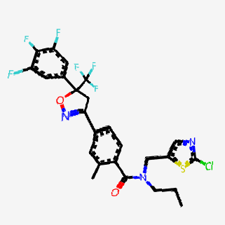 CCCN(Cc1cnc(Cl)s1)C(=O)c1ccc(C2=NOC(c3cc(F)c(F)c(F)c3)(C(F)(F)F)C2)cc1C